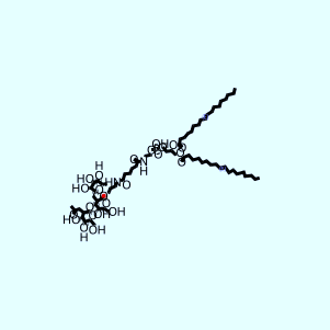 CCCCCCCC/C=C/CCCCCCCC(=O)OCC(COP(=O)(O)OCCNC(=O)CCCCC(=O)NCCCO[C@@H]1OC(CO)[C@H](O)[C@H](O[C@@H]2OC(CO)[C@H](O)[C@H](O)C2CC(C)=O)C1C[C@@H]1OC(C)[C@@H](O)[C@H](O)C1O)OC(=O)CCCCCCC/C=C/CCCCCCCC